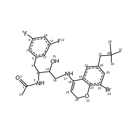 CC(=O)NC(Cc1cc(F)cc(F)c1)C(O)CNC1=CCOc2c(Br)cc(CC(C)(C)C)cc21